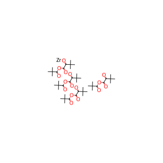 CC(C)(C)C(=O)OC(=O)C(=O)C(C)(C)C.CC(C)(C)C(=O)OC(=O)C(=O)C(C)(C)C.CC(C)(C)C(=O)OC(=O)C(=O)C(C)(C)C.CC(C)(C)C(=O)OC(=O)C(=O)C(C)(C)C.[Zr]